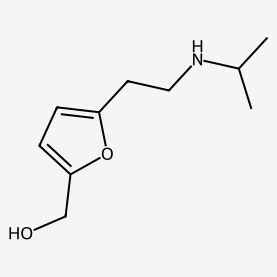 CC(C)NCCc1ccc(CO)o1